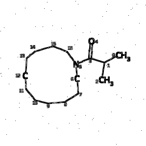 CC(C)C(=O)N1CCCCCCCCCCC1